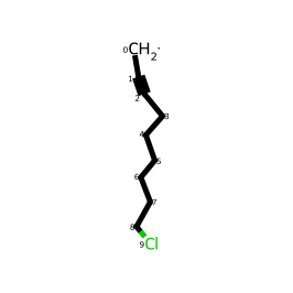 [CH2]C#CCCCCCCCl